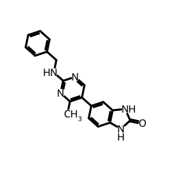 Cc1nc(NCc2ccccc2)ncc1-c1ccc2[nH]c(=O)[nH]c2c1